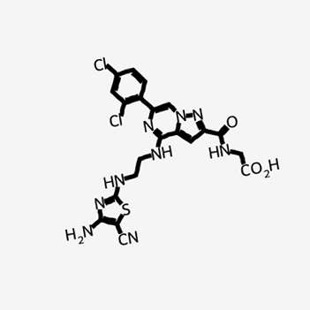 N#Cc1sc(NCCNc2nc(-c3ccc(Cl)cc3Cl)cn3nc(C(=O)NCC(=O)O)cc23)nc1N